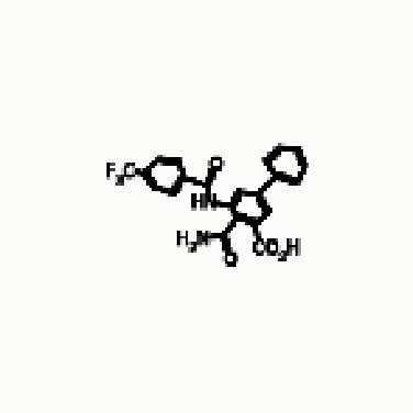 NC(=O)c1c(NC(=O)c2ccc(C(F)(F)F)cc2)cc(-c2ccccc2)cc1C(=O)O